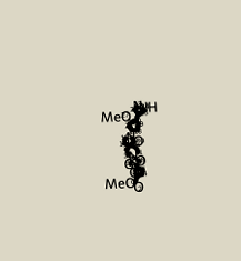 COC(=O)c1ccc(S(=O)(=O)N2CCC3(CCN(c4ccc(-c5cn[nH]c5)c(OC)c4)C3=O)CC2)o1